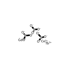 [Ce+3].[Gd+3].[O-]B([O-])[O-].[O-]B([O-])[O-].[O-]B([O-])[O-].[Tb+3]